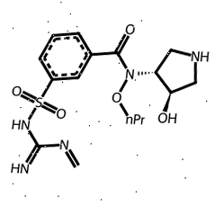 C=NC(=N)NS(=O)(=O)c1cccc(C(=O)N(OCCC)[C@@H]2CNC[C@H]2O)c1